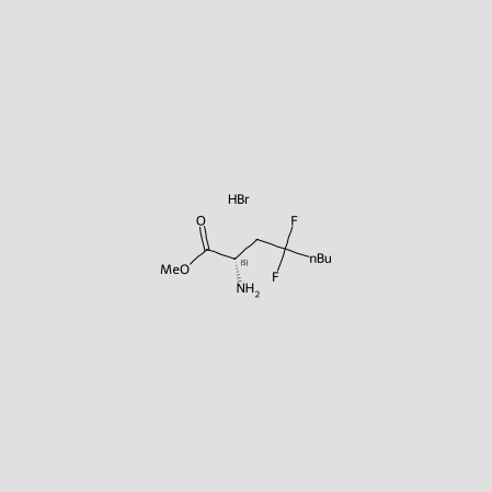 Br.CCCCC(F)(F)C[C@H](N)C(=O)OC